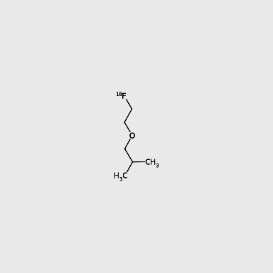 CC(C)COCC[18F]